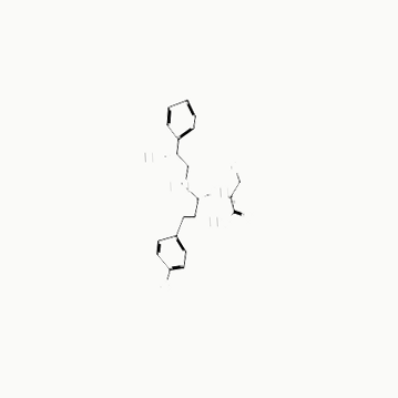 CCCC(=O)O.C[C@@H](CCc1ccc(O)cc1)NC[C@H](O)c1ccccc1